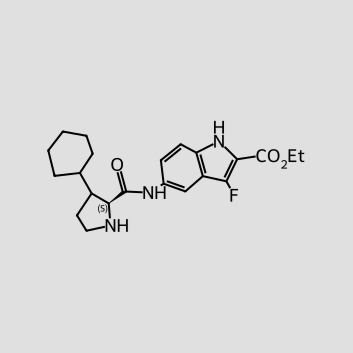 CCOC(=O)c1[nH]c2ccc(NC(=O)[C@H]3NCCC3C3CCCCC3)cc2c1F